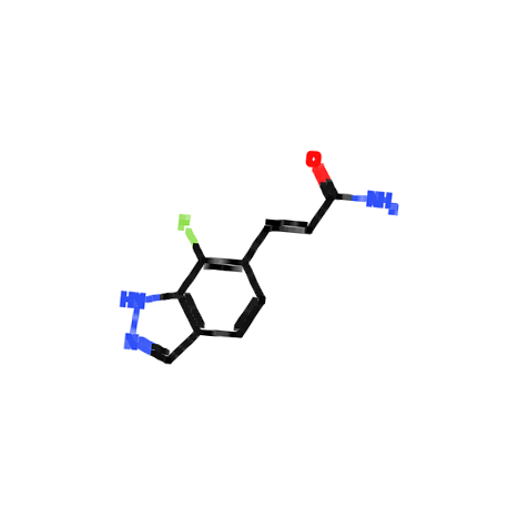 NC(=O)C=Cc1ccc2cn[nH]c2c1F